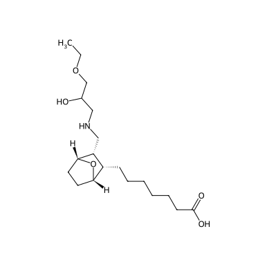 CCOCC(O)CNC[C@@H]1[C@H](CCCCCCC(=O)O)[C@@H]2CC[C@H]1O2